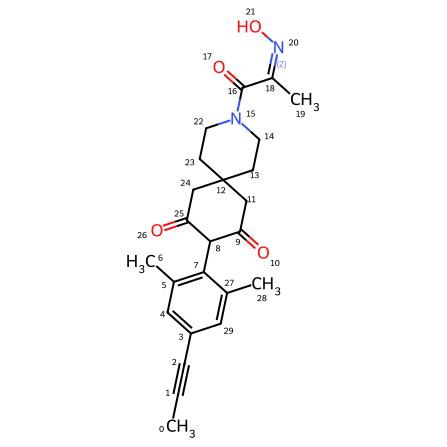 CC#Cc1cc(C)c(C2C(=O)CC3(CCN(C(=O)/C(C)=N\O)CC3)CC2=O)c(C)c1